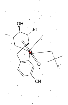 CC[C@@H]1C[C@@]2(Cc3ccc(C#N)cc3[C@]23N=C(C)N(CC(C)(C)F)C3=O)C[C@H](C)[C@H]1O